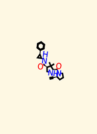 C#C[C@@H]1CCCN1C(=O)[C@H]1NC[C@@H](C(=O)N[C@H]2C[C@H]2c2ccccc2)C1(C)C